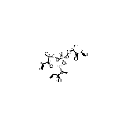 C=CC(=O)C(C)OOP(=O)(OOC(C)C(=O)C=C)OOC(C)C(=O)C=C